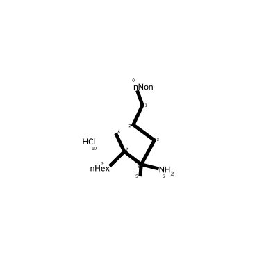 CCCCCCCCCCCCC(C)(N)C(C)CCCCCC.Cl